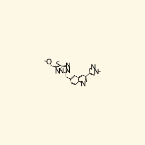 COCc1nn2c(Cc3ccc4ncc(-c5cnn(C)c5)cc4c3)nnc2s1